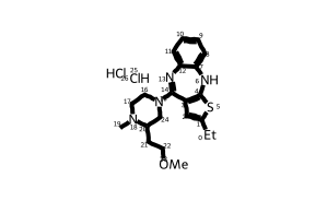 CCc1cc2c(s1)Nc1ccccc1N=C2N1CCN(C)C(CCOC)C1.Cl.Cl